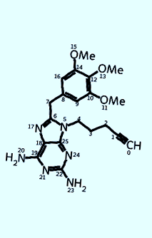 C#CCCCn1c(Cc2cc(OC)c(OC)c(OC)c2)nc2c(N)nc(N)nc21